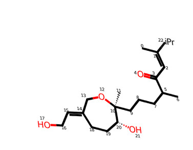 C/C(=C\C(=O)C(C)CCC[C@]1(C)OC/C(=C/CO)CC[C@H]1O)C(C)C